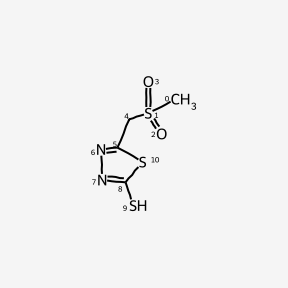 CS(=O)(=O)Cc1nnc(S)s1